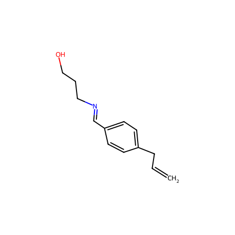 C=CCc1ccc(C=NCCCO)cc1